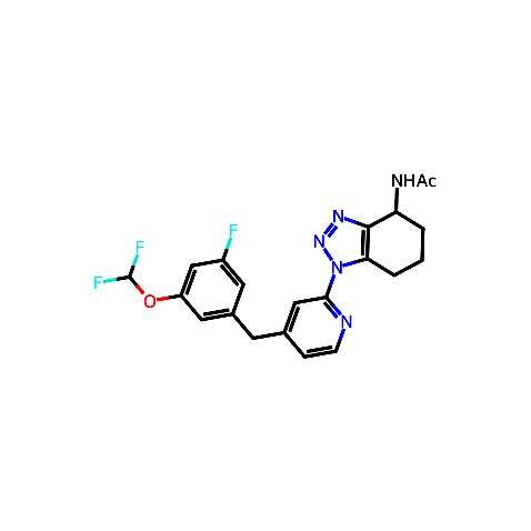 CC(=O)NC1CCCc2c1nnn2-c1cc(Cc2cc(F)cc(OC(F)F)c2)ccn1